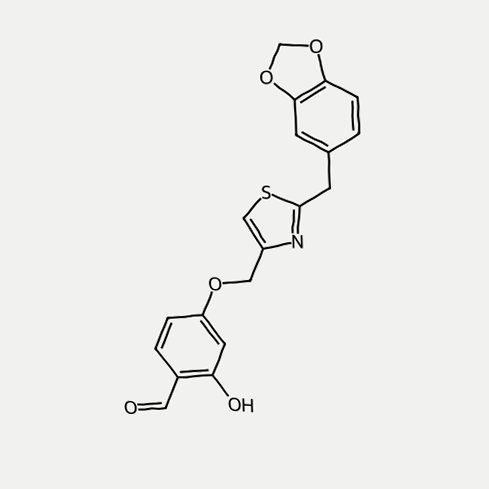 O=Cc1ccc(OCc2csc(Cc3ccc4c(c3)OCO4)n2)cc1O